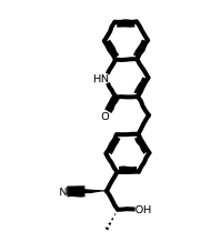 C[C@@H](O)[C@@H](C#N)c1ccc(Cc2cc3ccccc3[nH]c2=O)cc1